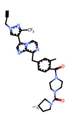 C#CCn1cc(-c2cnc3c(Cc4ccc(C(=O)N5CCN(C(=O)N6CC[C@H](C)C6)CC5)c(C)c4)nccn23)c(C(F)(F)F)n1